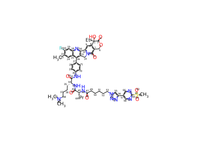 CC[C@@]1(O)C(=O)OCc2c1cc1n(c2=O)Cc2c-1nc1cc(F)c(C)cc1c2-c1ccc(NC(=O)[C@@H](CCCCN(C)C)NC(=O)[C@@H](NC(=O)CCCCCn2cc(-c3cnc(S(C)(=O)=O)nc3)nn2)C(C)C)cc1